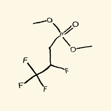 COP(=O)(CC(F)C(F)(F)F)OC